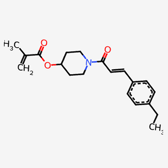 C=C(C)C(=O)OC1CCN(C(=O)/C=C/c2ccc(CC)cc2)CC1